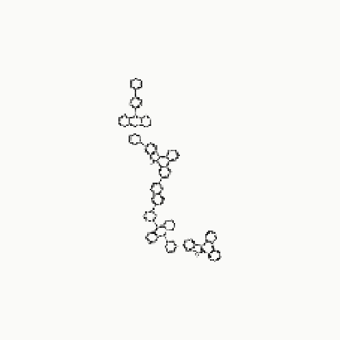 c1ccc(-c2ccc(-c3c4ccccc4c(-c4cccc(-c5ccc6c(c5)oc5c7cc(-c8ccc9cc(-c%10cccc(-c%11c%12ccccc%12c(-c%12cccc(-c%13ccc%14c(c%13)oc%13c%15ccccc%15c%15ccccc%15c%14%13)c%12)c%12ccccc%11%12)c%10)ccc9c8)ccc7c7ccccc7c65)c4)c4ccccc34)cc2)cc1